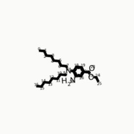 CCCCCCCCN(CCCCCCCC)c1ccc(C(=O)OCC)cc1N